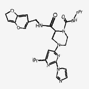 CCCNC(=O)N1CCN(c2cc(C(C)C)nc(-n3ccnc3)n2)CC1C(=O)NCC1=COC2=CCOC2=C1